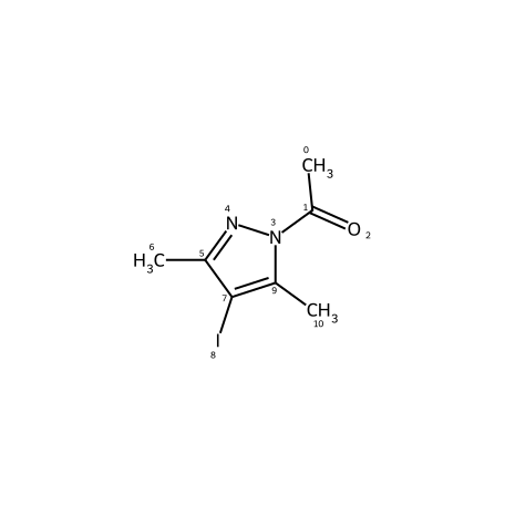 CC(=O)n1nc(C)c(I)c1C